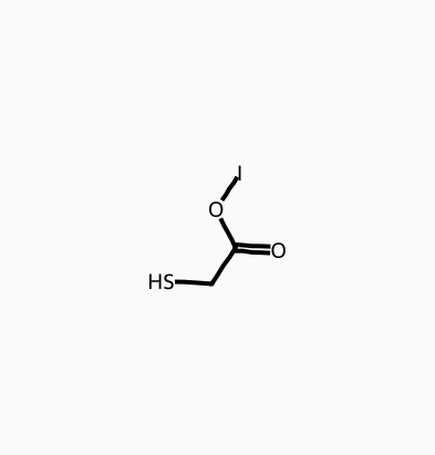 O=C(CS)OI